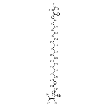 CC(C)=C(C)C(=O)OCCCCCCCCCCCCCCCCCCCCOCCOC(=O)C(C)=C(C)C